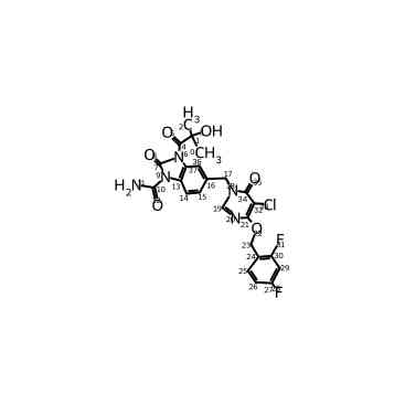 CC(C)(O)C(=O)n1c(=O)n(C(N)=O)c2ccc(Cn3cnc(OCc4ccc(F)cc4F)c(Cl)c3=O)cc21